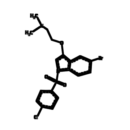 CN(C)CCOc1cn(S(=O)(=O)c2ccc(Cl)cc2)c2ccc(Br)cc12